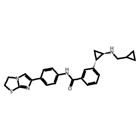 O=C(Nc1ccc(-c2cn3c(n2)SCC3)cc1)c1cccc([C@@H]2C[C@H]2NCC2CC2)c1